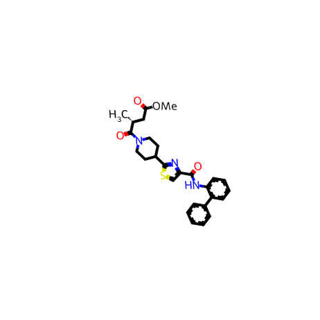 COC(=O)C[C@@H](C)C(=O)N1CCC(c2nc(C(=O)Nc3ccccc3-c3ccccc3)cs2)CC1